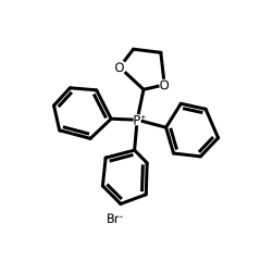 [Br-].c1ccc([P+](c2ccccc2)(c2ccccc2)C2OCCO2)cc1